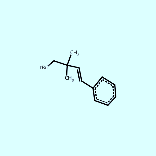 CC(C)(C)CC(C)(C)C=Cc1ccccc1